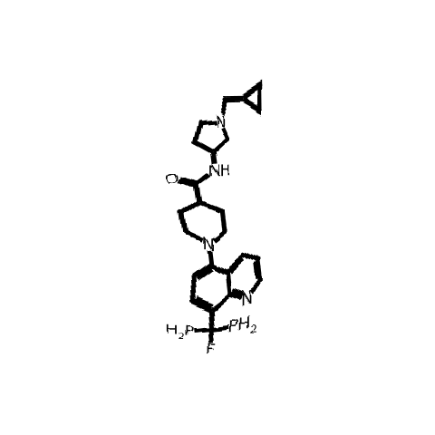 O=C(NC1CCN(CC2CC2)C1)C1CCN(c2ccc(C(F)(P)P)c3ncccc23)CC1